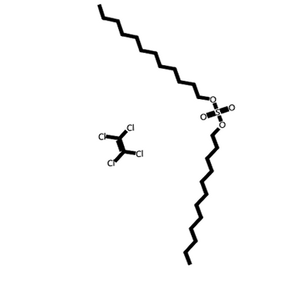 CCCCCCCCCCCCOS(=O)(=O)OCCCCCCCCCCCC.ClC(Cl)=C(Cl)Cl